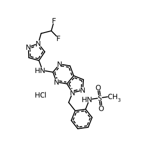 CS(=O)(=O)Nc1ccccc1Cn1ncc2cnc(Nc3cnn(CC(F)F)c3)nc21.Cl